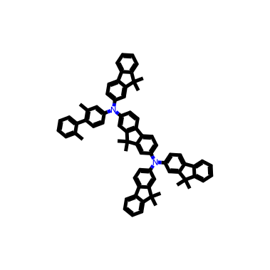 Cc1ccccc1-c1ccc(N(c2ccc3c(c2)C(C)(C)c2ccccc2-3)c2ccc3c(c2)C(C)(C)c2cc(N(c4ccc5c(c4)C(C)(C)c4ccccc4-5)c4ccc5c(c4)C(C)(C)c4ccccc4-5)ccc2-3)cc1C